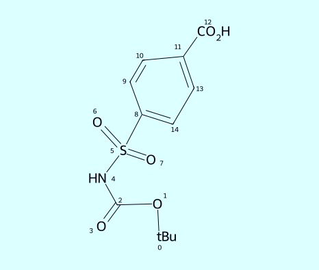 CC(C)(C)OC(=O)NS(=O)(=O)c1ccc(C(=O)O)cc1